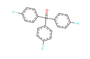 O=[As](c1ccc(F)cc1)(c1ccc(F)cc1)c1ccc(F)cc1